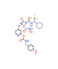 CONC(=O)[C@@H]1[C@@H](Cc2ccnc(OC(=O)NCc3ccc(OC)cc3)c2)C(=O)N1C(=O)NC(C1CCCCC1)C(F)(F)F